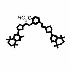 Cc1cc2c(cc1C1CCC(=CCc3cc(CC=C4CCC(c5ccc6c(c5)C(C)(C)CCC6(C)C)C4)ccc3C(=O)O)C1)C(C)(C)CCC2(C)C